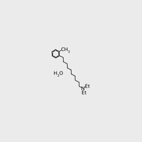 CCN(CC)CCCCCCCCCCc1ccccc1C.O